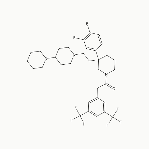 O=C(Cc1cc(C(F)(F)F)cc(C(F)(F)F)c1)N1CCCC(CCN2CCC(N3CCCCC3)CC2)(c2ccc(F)c(F)c2)C1